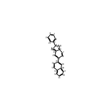 c1ccc(C2N=c3ccc(-c4ccc5ccccc5c4)cc3=N2)cc1